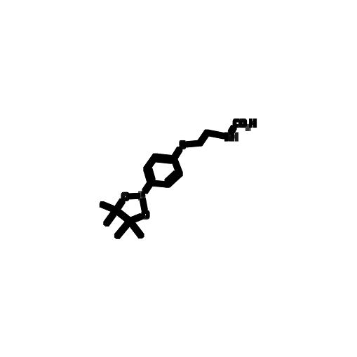 CC1(C)OB(c2ccc(SCCNC(=O)O)cc2)OC1(C)C